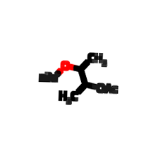 CCCCOC(C)C(C)OC(C)=O